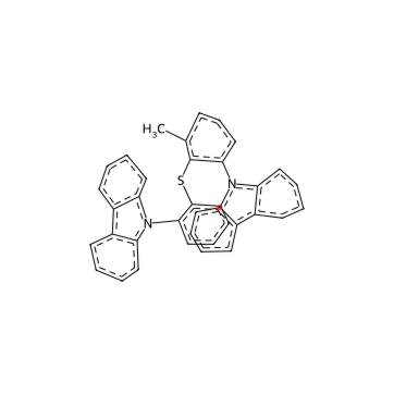 Cc1cccc(-n2c3ccccc3c3ccccc32)c1Sc1ccccc1-n1c2ccccc2c2ccccc21